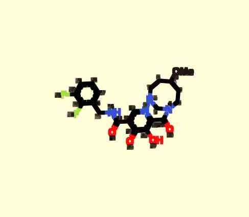 COC1CCN2CN(CC1)n1cc(C(=O)NCc3cccc(F)c3F)c(=O)c(O)c1C2=O